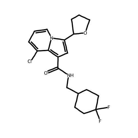 O=C(NCC1CCC(F)(F)CC1)c1cc(C2CCCO2)n2cccc(Cl)c12